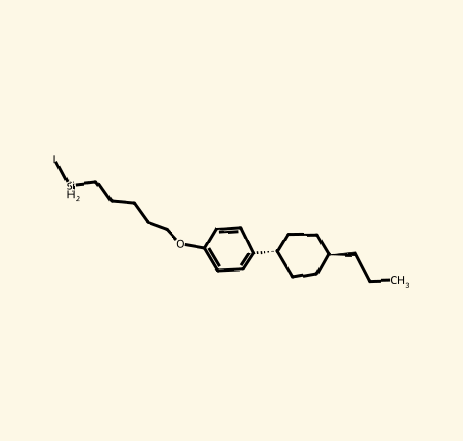 CCC[C@H]1CC[C@H](c2ccc(OCCCCC[SiH2]I)cc2)CC1